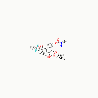 CC1(C)COC2(CCC3=C4[C@@H](CC[C@@]3(O)C2)[C@@H]2CC[C@@](O)(C(F)(F)C(F)(F)F)[C@@]2(C)C[C@@H]4c2ccc(COC(=O)NC(C)(C)C)cc2)OC1